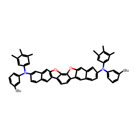 Cc1cc(N(c2cccc(C(C)(C)C)c2)c2ccc3cc4c(cc3c2)oc2c4ccc3c4cc5ccc(N(c6cccc(C(C)(C)C)c6)c6cc(C)c(C)c(C)c6)cc5cc4oc32)cc(C)c1C